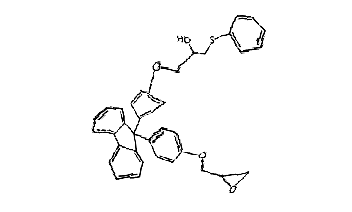 OC(COc1ccc(C2(c3ccc(OCC4CO4)cc3)c3ccccc3-c3ccccc32)cc1)CSc1ccccc1